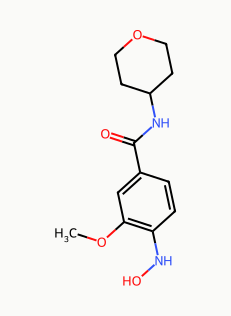 COc1cc(C(=O)NC2CCOCC2)ccc1NO